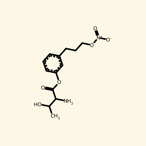 CC(O)C(N)C(=O)Oc1cccc(CCCO[N+](=O)[O-])c1